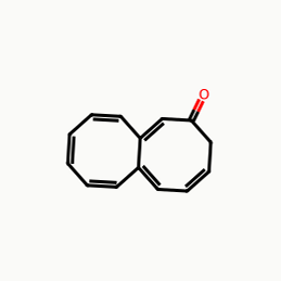 O=C1C=C2C=CC=CC=CC2=CC=CC1